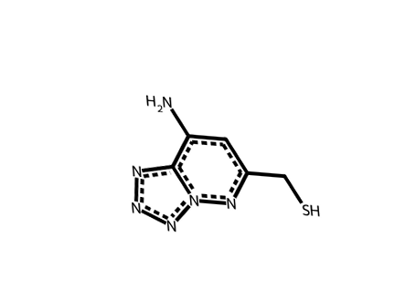 Nc1cc(CS)nn2nnnc12